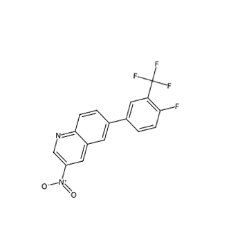 O=[N+]([O-])c1cnc2ccc(-c3ccc(F)c(C(F)(F)F)c3)cc2c1